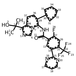 CC(C)(O)c1ncn2c(NC(=O)c3cc(-c4ncccn4)c(C(F)(F)F)cc3F)c(-c3ccccc3)ccc12